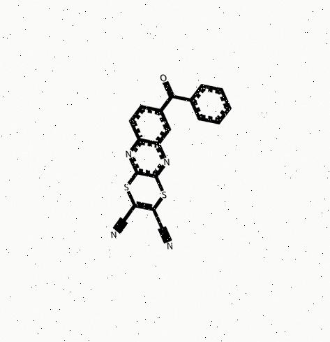 N#CC1=C(C#N)Sc2nc3cc(C(=O)c4ccccc4)ccc3nc2S1